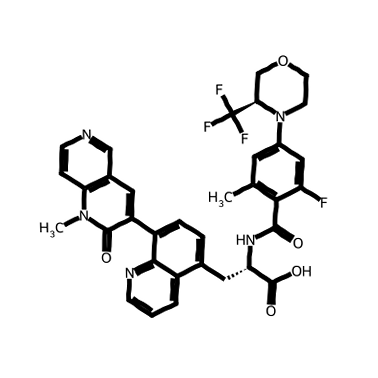 Cc1cc(N2CCOC[C@@H]2C(F)(F)F)cc(F)c1C(=O)N[C@@H](Cc1ccc(-c2cc3cnccc3n(C)c2=O)c2ncccc12)C(=O)O